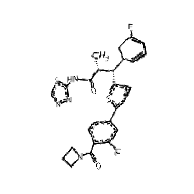 C[C@@H](C(=O)Nc1nncs1)[C@@H](c1ccc(-c2ccc(C(=O)N3CCC3)c(F)c2)s1)C1C=CC=C(F)C1